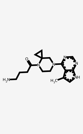 Cc1c[nH]c2ncnc(N3CCN(C(=O)CCCN)C4(CC4)C3)c12